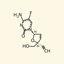 C#C[C@@]1(CO)C=C[C@H](n2cc(F)c(N)nc2=O)O1